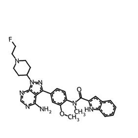 COc1cc(-c2nn(C3CCN(CCF)CC3)c3ncnc(N)c23)ccc1N(C)C(=O)c1cc2ccccc2[nH]1